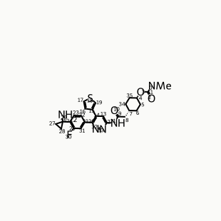 CNC(=O)O[C@H]1CC[C@H](CC(=O)Nc2cc(-c3ccsc3)c(-c3ccc(C4(N)CC4)c(F)c3)nn2)CC1